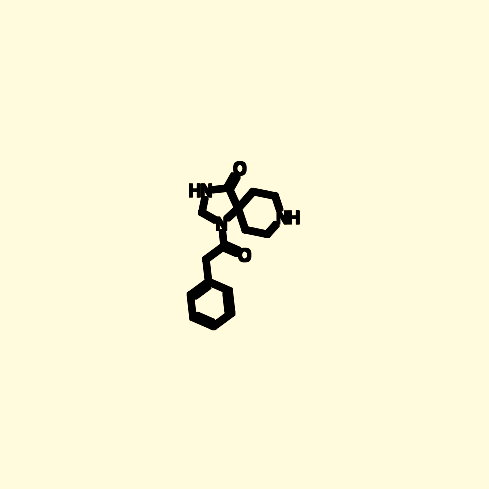 O=C(Cc1ccccc1)N1CNC(=O)C12CCNCC2